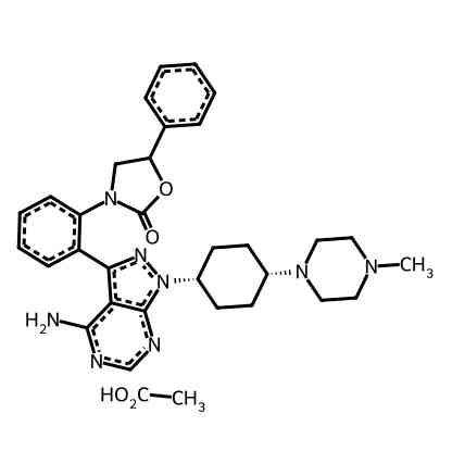 CC(=O)O.CN1CCN([C@H]2CC[C@@H](n3nc(-c4ccccc4N4CC(c5ccccc5)OC4=O)c4c(N)ncnc43)CC2)CC1